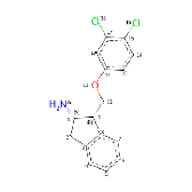 N[C@H]1Cc2ccccc2[C@H]1COc1ccc(Cl)c(Cl)c1